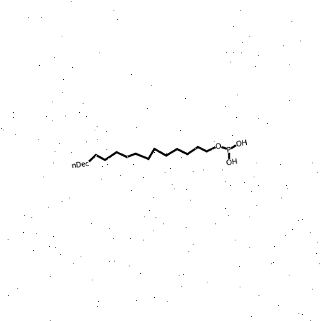 CCCCCCCCCCCCCCCCCCCCCCOP(O)O